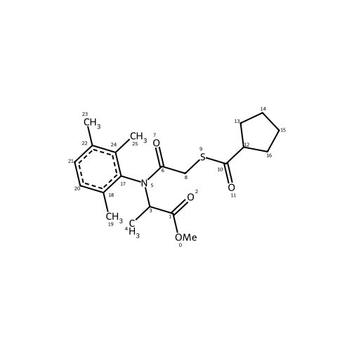 COC(=O)C(C)N(C(=O)CSC(=O)C1CCCC1)c1c(C)ccc(C)c1C